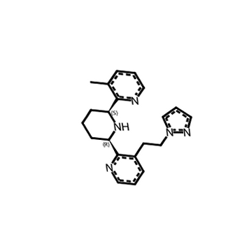 Cc1cccnc1[C@@H]1CCC[C@H](c2ncccc2CCn2cccn2)N1